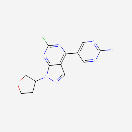 Nc1ncc(-c2nc(Cl)nc3c2cnn3C2CCOC2)cn1